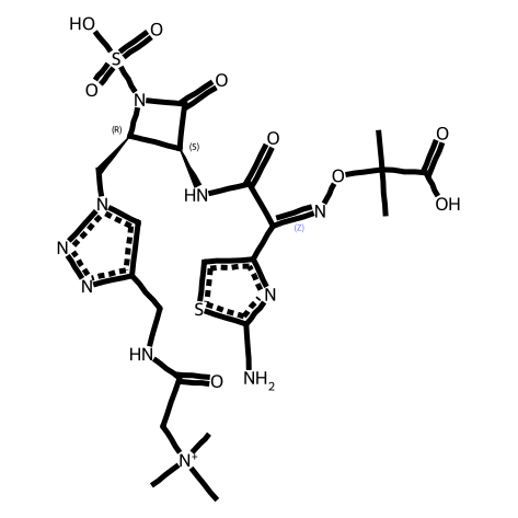 CC(C)(O/N=C(\C(=O)N[C@@H]1C(=O)N(S(=O)(=O)O)[C@@H]1Cn1cc(CNC(=O)C[N+](C)(C)C)nn1)c1csc(N)n1)C(=O)O